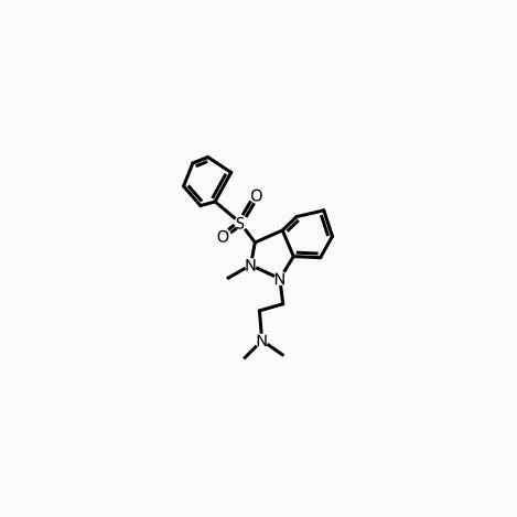 CN(C)CCN1c2ccccc2C(S(=O)(=O)c2ccccc2)N1C